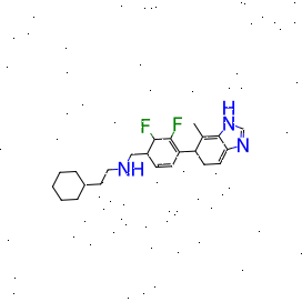 CC1=c2[nH]cnc2=CCC1C1=C(F)C(F)C(CNCCC2CCCCC2)C=C1